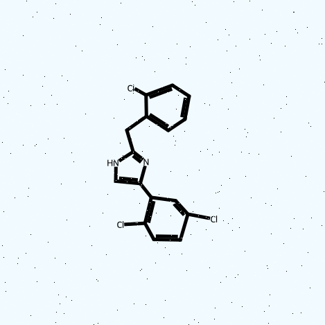 Clc1ccc(Cl)c(-c2c[nH]c(Cc3ccccc3Cl)n2)c1